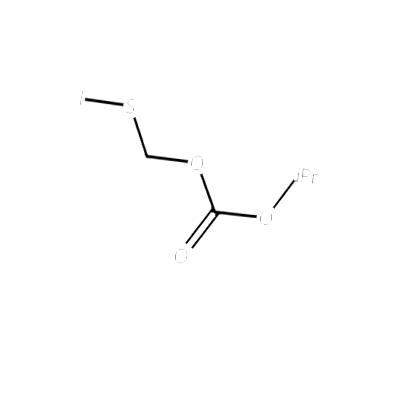 CC(C)OC(=O)OCSI